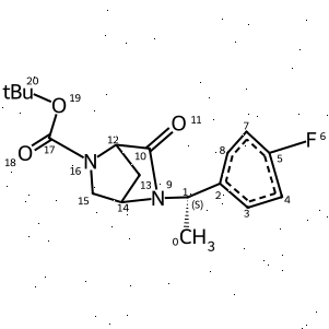 C[C@@H](c1ccc(F)cc1)N1C(=O)C2CC1CN2C(=O)OC(C)(C)C